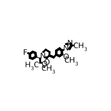 COc1cc(C=C2CCCN([C@H](c3ccc(F)cc3)[C@@H](C)OC)C2=O)ccc1-n1cnc(C)c1